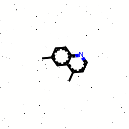 Cc1ccc2nccc(C)c2c1